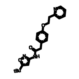 CC(C)(C)c1cc(NC(=O)Cc2ccc(OCCc3ccccn3)cc2)no1